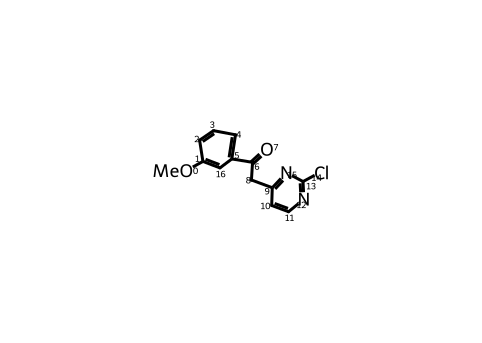 COc1cccc(C(=O)Cc2ccnc(Cl)n2)c1